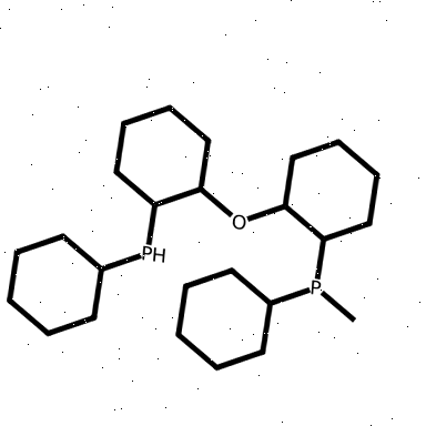 CP(C1CCCCC1)C1CCCCC1OC1CCCCC1PC1CCCCC1